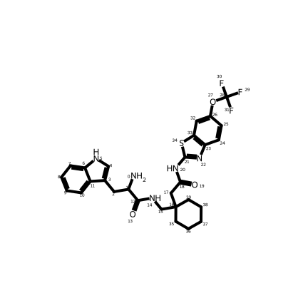 NC(Cc1c[nH]c2ccccc12)C(=O)NCC1(CC(=O)Nc2nc3ccc(OC(F)(F)F)cc3s2)CCCCC1